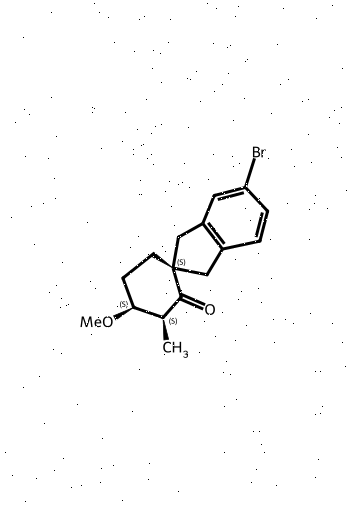 CO[C@H]1CC[C@@]2(Cc3ccc(Br)cc3C2)C(=O)[C@H]1C